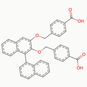 O=C(O)c1ccc(COc2cc3ccccc3c(-c3cccc4ccccc34)c2OCc2ccc(C(=O)O)cc2)cc1